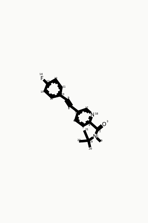 CN(C(=O)c1ccc(C#Cc2ccc(F)cc2)cn1)C(C)(C)C